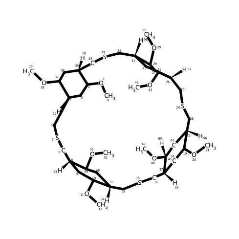 COC1C[C@@H]2CSC[C@H]3CC(OC)[C@@H](CSC[C@H]4CC(OC)[C@@H](CSC[C@H]5CC(OC)[C@@H](CSC[C@H]1CC2OC)CC5OC)C[C@H]4OC)CC3OC